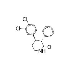 O=C1NCC[C@@H](c2ccc(Cl)c(Cl)c2)[C@@H]1c1ccccc1